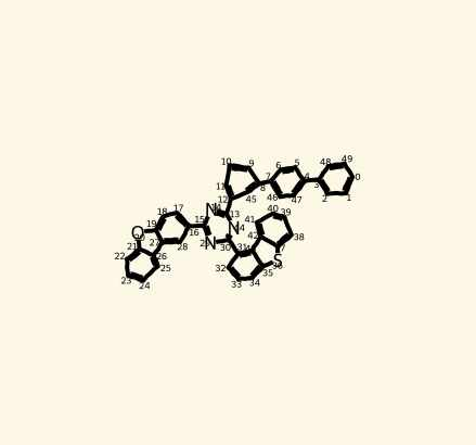 c1ccc(-c2ccc(-c3cccc(-c4nc(-c5ccc6oc7ccccc7c6c5)nc(-c5cccc6sc7ccccc7c56)n4)c3)cc2)cc1